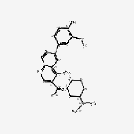 CCOc1cc(-c2ccc3ncc(C(=O)C(C)C)c(N[C@H]4CC[C@H](N(C)C)CC4)c3c2)ccc1O